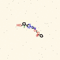 O=C(OCCON=C1CN(c2ncc(-c3cccc(CO)c3F)cn2)C1)c1ccccc1